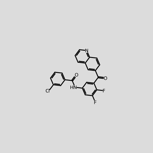 O=C(Nc1cc(F)c(F)c(C(=O)c2ccc3ncccc3c2)c1)c1cccc(Cl)c1